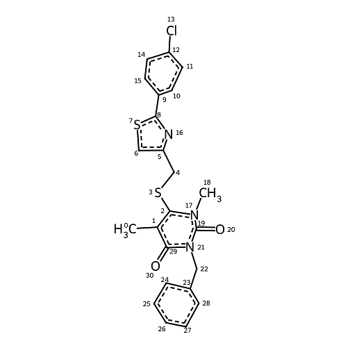 Cc1c(SCc2csc(-c3ccc(Cl)cc3)n2)n(C)c(=O)n(Cc2ccccc2)c1=O